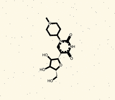 CN1CCC(n2cc([C@@H]3O[C@H](CO)C(O)C3O)c(=O)[nH]c2=O)CC1